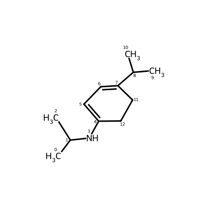 CC(C)NC1=CC=C(C(C)C)CC1